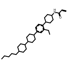 C=CC(=O)NC1CCC(c2ccc(C3CCC(C4CCC(CCCCC)CC4)CC3)cc2CC)CC1